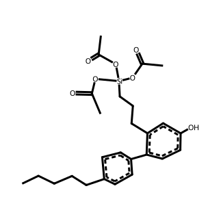 CCCCCc1ccc(-c2ccc(O)cc2CCC[Si](OC(C)=O)(OC(C)=O)OC(C)=O)cc1